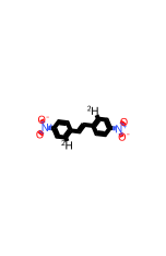 [2H]c1cc([N+](=O)[O-])ccc1C=Cc1ccc([N+](=O)[O-])cc1[2H]